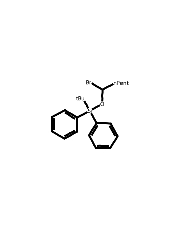 CCCCCC(Br)O[Si](c1ccccc1)(c1ccccc1)C(C)(C)C